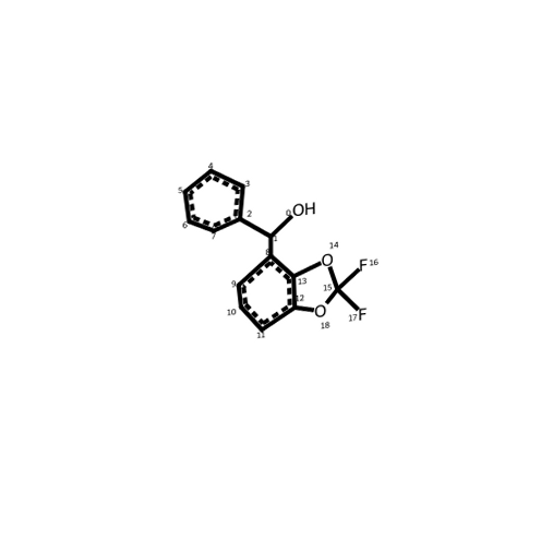 OC(c1ccccc1)c1cccc2c1OC(F)(F)O2